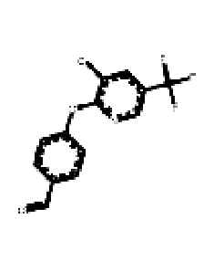 O=Cc1ccc(Oc2ncc(C(F)(F)F)cc2Cl)cc1